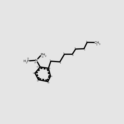 CCCCCCCCc1ccccc1N(P)P